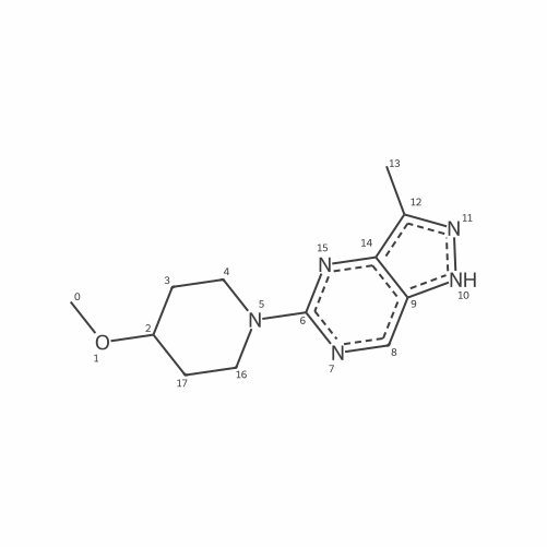 COC1CCN(c2ncc3[nH]nc(C)c3n2)CC1